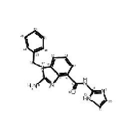 Nc1nc2c(C(=O)Nc3ncc[nH]3)cccc2n1Cc1ccccc1